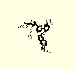 Cc1ccc(OCc2ccc3c(c2)CCN(C)C3)c(-c2cccc(-c3csc(C(=O)O)c3C)n2)c1